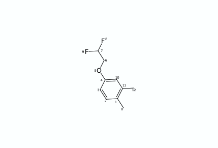 Cc1ccc(OCC(F)F)cc1C